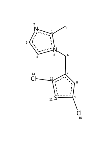 Cc1nccn1Cc1cc(Cl)sc1Cl